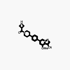 COc1cc(-c2ccc(C3CCN(C(=O)C4CNC4)CC3)cc2)cn2ncc(C#N)c12